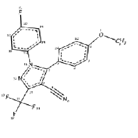 COc1ccc(-c2c(C#N)c(C(F)(F)F)nn2-c2ccc(F)cc2)cc1